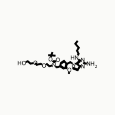 CCCCCNc1nc(N)nc2ccn(Cc3ccc(CN(CCOCCOCCO)C(=O)OC(C)(C)C)cc3OC)c12